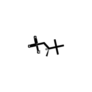 C[C@H](CS(=O)(=O)Cl)C(C)(C)C